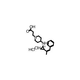 CC(=Cc1ccccc1)C1C[C@@H]1NC1CCN(CCC(=O)O)CC1.Cl.Cl